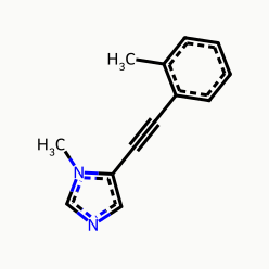 Cc1ccccc1C#Cc1cncn1C